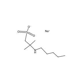 CCCCCNC(C)(C)CS(=O)(=O)[O-].[Na+]